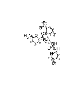 CCC(=O)c1ccc(F)c([C@H]2C[C@H]2NC(=O)Nc2ccc(Br)cn2)c1OC(=O)c1cccc(N)c1